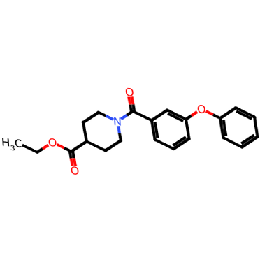 CCOC(=O)C1CCN(C(=O)c2cccc(Oc3ccccc3)c2)CC1